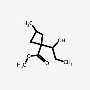 CCC(O)C1(C(=O)OC)CC(C)C1